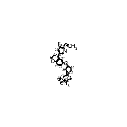 COc1ncc(N2CCOc3ccc(O[C@H]4CCN(C(=O)CS(C)(=O)=O)C4)cc32)cc1F